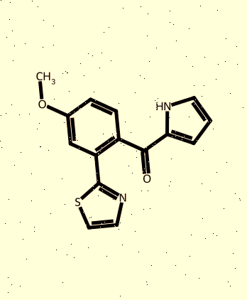 COc1ccc(C(=O)c2ccc[nH]2)c(-c2nccs2)c1